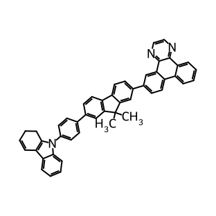 CC1(C)c2cc(-c3ccc(-n4c5c(c6ccccc64)C=CCC5)cc3)ccc2-c2ccc(-c3ccc4c5ccccc5c5nccnc5c4c3)cc21